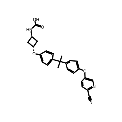 CC(C)(c1ccc(Oc2ccc(C#N)nc2)cc1)c1ccc(O[C@H]2C[C@H](NC(=O)O)C2)cc1